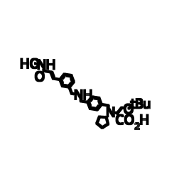 CC(C)(C)OCC(C(=O)O)N(Cc1ccc(CNCc2cccc(C=CC(=O)NO)c2)cc1)C1CCCC1